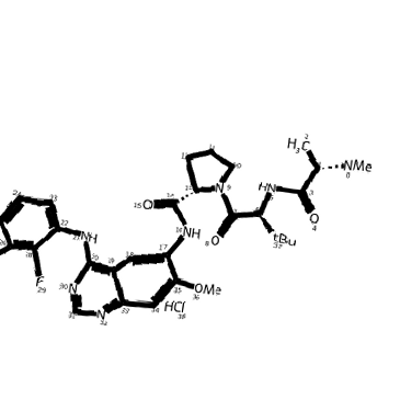 CN[C@@H](C)C(=O)N[C@H](C(=O)N1CCC[C@H]1C(=O)Nc1cc2c(Nc3cccc(F)c3F)ncnc2cc1OC)C(C)(C)C.Cl